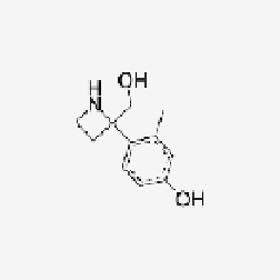 Cc1cc(O)ccc1C1(CO)CCN1